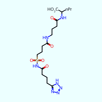 CCCC(NC(=O)CCCNC(=O)CCCS(=O)(=O)NC(=O)CCCc1nnn[nH]1)C(=O)O